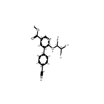 COC(=O)c1cnc(OC(F)C(F)F)c(-c2ccc(C#N)cc2)c1